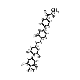 CCCc1c(F)cc(-c2c(F)cc(CCc3ccc(-c4ccc(/C(F)=C(/C)F)cc4)cc3F)cc2F)cc1F